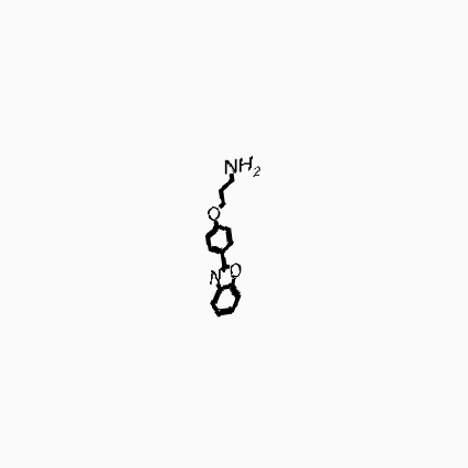 NCCCOc1ccc(-c2nc3ccccc3o2)cc1